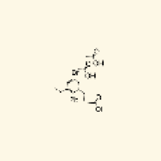 CC(=O)O.CC(=O)O.CC(=O)O.CCc1cc(Br)cc(CC)[c]1[Pb]